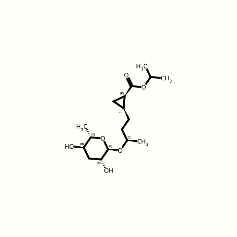 CC(C)OC(=O)[C@@H]1C[C@@H]1CC[C@@H](C)O[C@@H]1O[C@@H](C)[C@H](O)C[C@H]1O